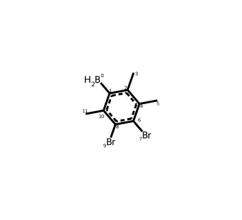 Bc1c(C)c(C)c(Br)c(Br)c1C